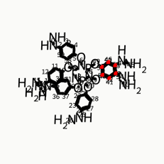 NNc1ccc(ON2P(Oc3ccc(NN)cc3)N=P(Oc3ccc(NN)cc3)(Oc3ccc(NN)cc3)N(Oc3ccc(NN)cc3)P2Oc2ccc(NN)cc2)cc1